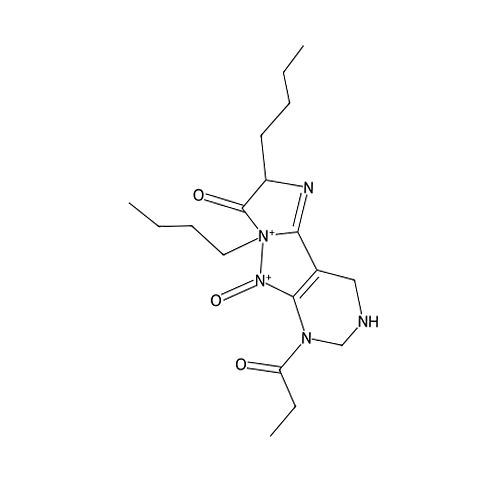 CCCCC1N=C2C3=C(N(C(=O)CC)CNC3)[N+](=O)[N+]2(CCCC)C1=O